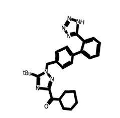 CC(C)(C)c1nc(C(=O)C2CCCCC2)nn1Cc1ccc(-c2ccccc2-c2nnn[nH]2)cc1